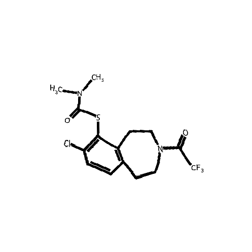 CN(C)C(=O)Sc1c(Cl)ccc2c1CCN(C(=O)C(F)(F)F)CC2